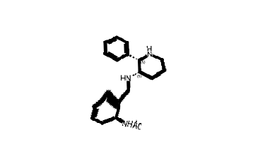 CC(=O)Nc1ccccc1CN[C@H]1CCCN[C@H]1c1ccccc1